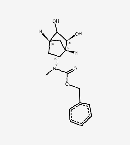 CN(C(=O)OCc1ccccc1)[C@@H]1C[C@H]2C[C@@H]1[C@H](O)C2O